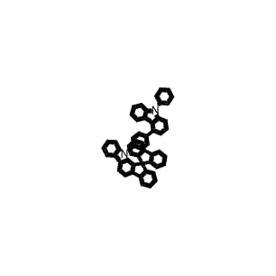 c1ccc(-n2c3ccccc3c3c(-c4ccc(-n5c6ccccc6c6ccc7c(c65)C5(c6ccccc6-c6ccccc65)c5ccccc5-7)cc4)cccc32)cc1